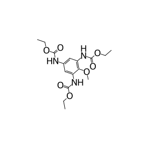 CCOC(=O)Nc1cc(NC(=O)OCC)c(OC)c(NC(=O)OCC)c1